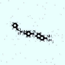 N=C(N)c1ccc2cc(OC(=O)c3ccc(CNC(=O)OCc4ccccc4)cc3)ccc2c1